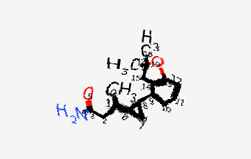 CC(CC(N)=O)C1CC1c1cccc2c1CC(C)(C)O2